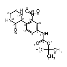 CC(C)(C)OC(=O)Nc1ccc(C2NCCNC2=O)c([N+](=O)[O-])c1